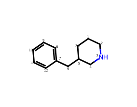 [CH]1CCNCC1Cc1ccccc1